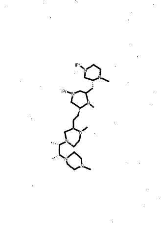 CC(C)N1CCN(C)[C@H](CC2CN(C(C)C)C[C@H](CCC3CN([C@@H](C)[C@@H](C)N4CCN(C)CC4)CCN3C)N2C)C1